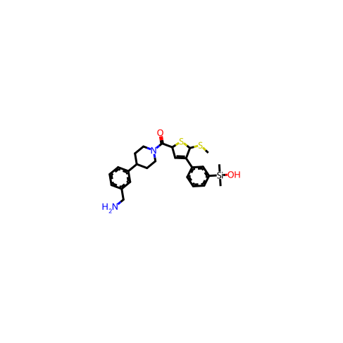 CSC1SC(C(=O)N2CCC(c3cccc(CN)c3)CC2)C=C1c1cccc([Si](C)(C)O)c1